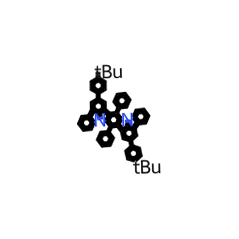 CC(C)(C)c1ccc(-c2cc3c4ccccc4n4c5c(-c6ccccc6)c6c7cc(-c8ccc(C(C)(C)C)cc8)cc8c9ccccc9n(c6c(-c6ccccc6)c5c(c2)c34)c87)cc1